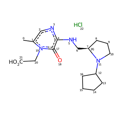 Cc1cnc(NC[C@H]2CCCN2C2CCCC2)c(=O)n1CC(=O)O.Cl